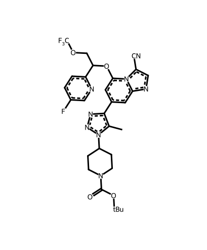 Cc1c(-c2cc(OC(COC(F)(F)F)c3ccc(F)cn3)n3c(C#N)cnc3c2)nnn1C1CCN(C(=O)OC(C)(C)C)CC1